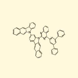 c1ccc(-c2cc(-c3ccccc3)cc(-c3nc(-n4c5cc(-n6c7ccccc7c7cc8ccccc8cc76)ccc5c5cc6ccccc6cc54)nc4ccccc34)c2)cc1